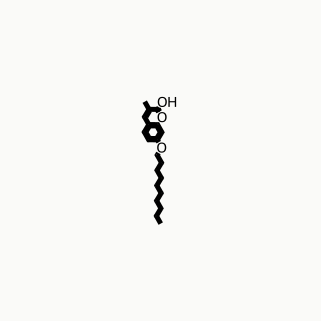 CCCCCCCCCCOc1ccc(C=C(C)C(=O)O)cc1